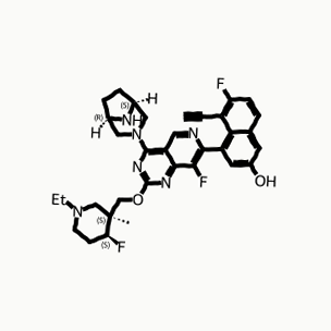 C#Cc1c(F)ccc2cc(O)cc(-c3ncc4c(N5C[C@H]6CC[C@@H](C5)N6)nc(OC[C@]5(C)CN(CC)CC[C@@H]5F)nc4c3F)c12